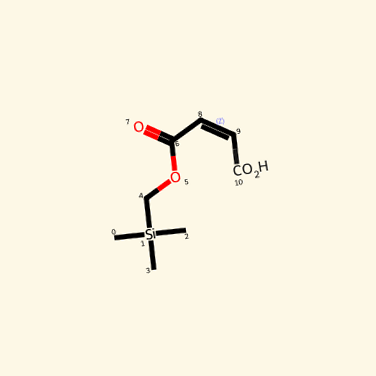 C[Si](C)(C)COC(=O)/C=C\C(=O)O